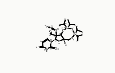 CC(C)[Si]1(C(C)C)OC[C@H]2O[C@@H](n3ccc(=O)[nH]c3=O)C(C=O)(N=[N+]=[N-])C2O[Si](C(C)C)(C(C)C)O1